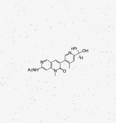 [2H][C@@](O)(CCC)c1cc(C)c(-c2cc3cnc(NC(C)=O)cc3n(C)c2=O)cn1